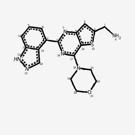 NCc1cc2nc(-c3cccc4[nH]ncc34)nc(N3CCOCC3)c2s1